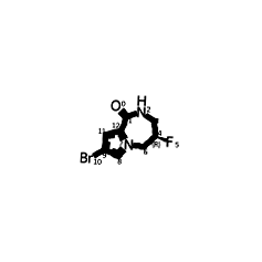 O=C1NC[C@@H](F)Cn2cc(Br)cc21